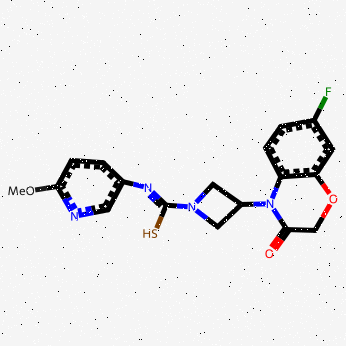 COc1ccc(N=C(S)N2CC(N3C(=O)COc4cc(F)ccc43)C2)cn1